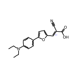 CCN(CC)c1ccc(-c2ccc(/C=C(\C#N)C(=O)O)o2)cc1